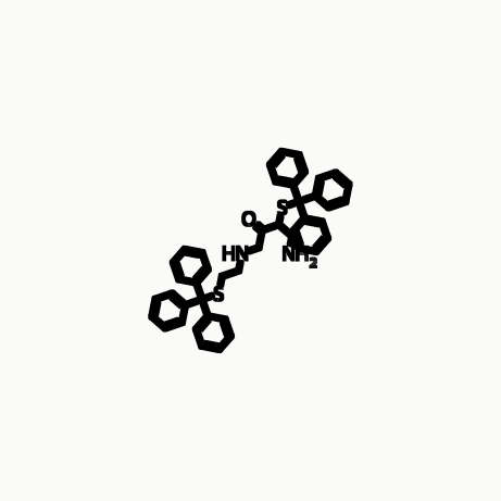 NCC(SC(c1ccccc1)(c1ccccc1)c1ccccc1)C(=O)CNCCSC(c1ccccc1)(c1ccccc1)c1ccccc1